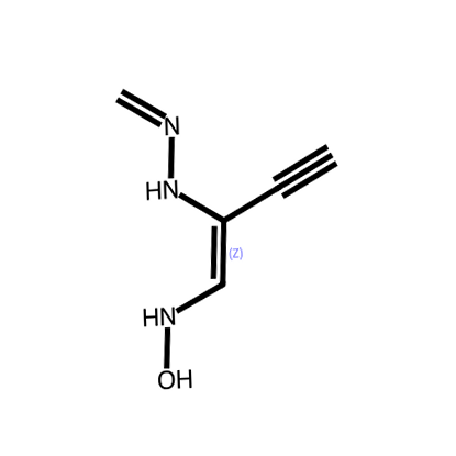 C#C/C(=C/NO)NN=C